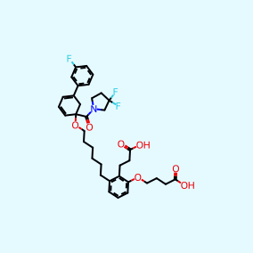 O=C(O)CCCOc1cccc(CCCCCCOC2(C(=O)N3CCC(F)(F)C3)C=CC=C(c3cccc(F)c3)C2)c1CCC(=O)O